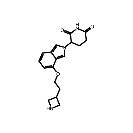 O=C1CCC(n2cc3cccc(OCCC4CNC4)c3c2)C(=O)N1